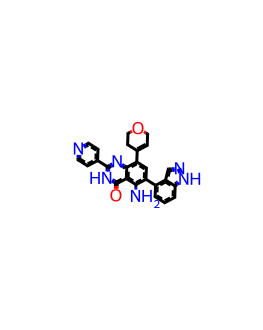 Nc1c(-c2cccc3[nH]ncc23)cc(C2=CCOCC2)c2nc(-c3ccncc3)[nH]c(=O)c12